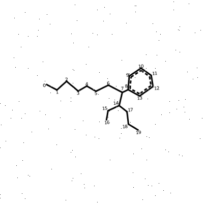 CCCCCCCC(c1[c]cccc1)C(CC)CCC